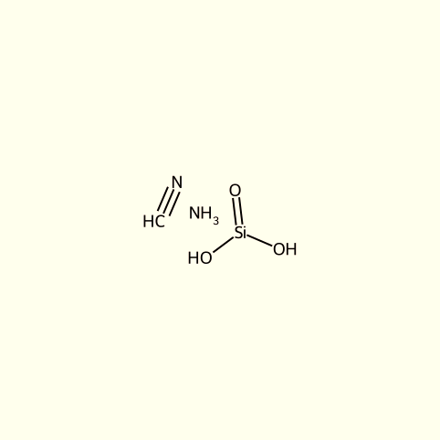 C#N.N.O=[Si](O)O